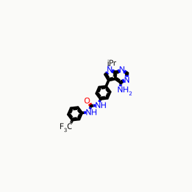 CC(C)n1cc(-c2ccc(NC(=O)Nc3cccc(C(F)(F)F)c3)cc2)c2c(N)ncnc21